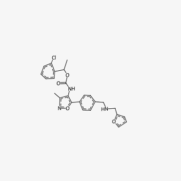 Cc1noc(-c2ccc(CNCc3ccco3)cc2)c1NC(=O)OC(C)c1ccccc1Cl